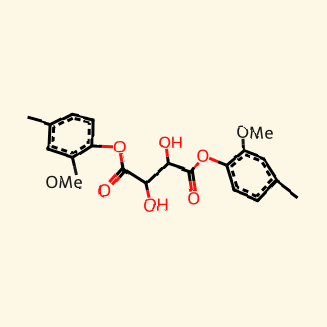 COc1cc(C)ccc1OC(=O)C(O)C(O)C(=O)Oc1ccc(C)cc1OC